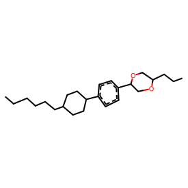 CCCCCCC1CCC(c2ccc(C3COC(CCC)CO3)cc2)CC1